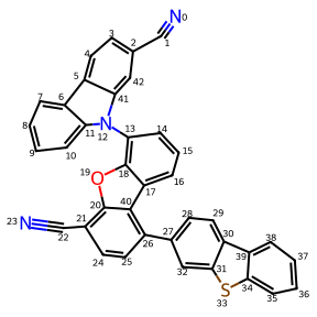 N#Cc1ccc2c3ccccc3n(-c3cccc4c3oc3c(C#N)ccc(-c5ccc6c(c5)sc5ccccc56)c34)c2c1